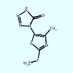 CSc1nc(C)c(-n2nn[nH]c2=O)s1